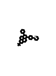 CC(C)(C)c1cc2ccc3c(-c4ccccc4)cc(-c4ccc(-c5ccccn5)cc4)c4ccc(c1)c2c34